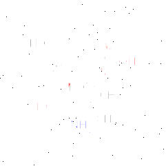 CC(C)(C)C(N)C(=O)O.Cc1ccc(S(=O)(=O)O)cc1C